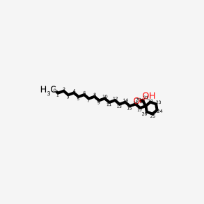 CCCCCCCCCCCCCCCCCCC1(C(=O)O)CCCCC1